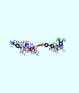 Cc1ncsc1-c1ccc([C@H](C)NC(=O)[C@@H]2C[C@@H](O)CN2C(=O)[C@@H](NC(=O)COCCCCOc2ccc(-c3ccc(N(C(=S)Nc4ccc(C#N)c(C(F)(F)F)c4)C(C)(C)C=O)c(F)c3)cc2)C(C)(C)C)cc1